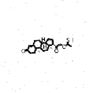 CC(S)OCC(=O)[C@H]1CC[C@H]2[C@@H]3CCC4=CC(=O)CC[C@]4(C)C3CC[C@]12C